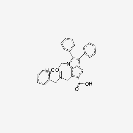 COCn1c(-c2ccccc2)c(-c2ccccc2)c2sc(C(=O)O)c(CNCc3ccccc3)c21